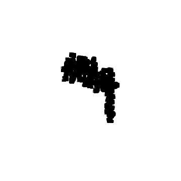 CC[C@H](C)[C@H](NC(=O)[C@@H](NC(=O)[C@H](C(C)C)N(C)C(C)C)C(C)C)[C@@H](CC(=O)N1CCC[C@H]1[C@H](OC)[C@@H](C)C(=O)N[C@@H](Cc1ccccc1)C(=O)OCCOCCOCCOC)OC